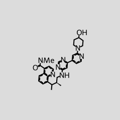 CNC(=O)c1ccnc2c(C(C)[C@H](C)CNc3cc(-c4ccnc(N5CCC(O)CC5)c4)ncn3)cccc12